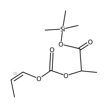 C/C=C\OC(=O)OC(C)C(=O)O[Si](C)(C)C